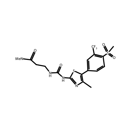 CNC(=O)CCNC(=O)Nc1nc(C)c(-c2ccc(S(C)(=O)=O)c(C(F)(F)F)c2)s1